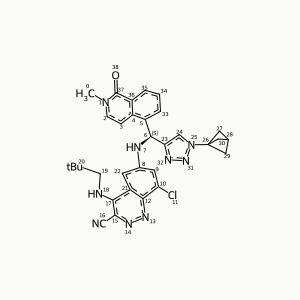 Cn1ccc2c([C@H](Nc3cc(Cl)c4nnc(C#N)c(NCC(C)(C)C)c4c3)c3cn(C45CC(C4)C5)nn3)cccc2c1=O